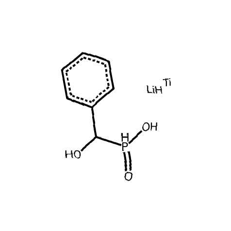 O=[PH](O)C(O)c1ccccc1.[LiH].[Ti]